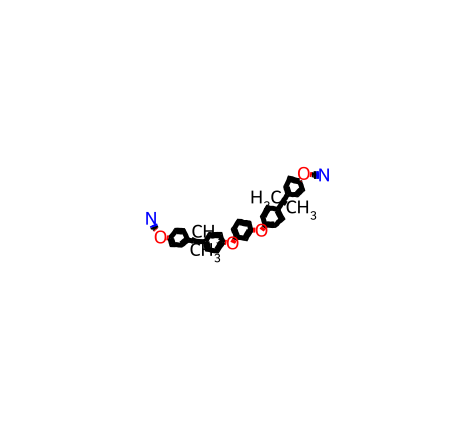 CC(C)(c1ccc(OC#N)cc1)c1ccc(Oc2cccc(Oc3ccc(C(C)(C)c4ccc(OC#N)cc4)cc3)c2)cc1